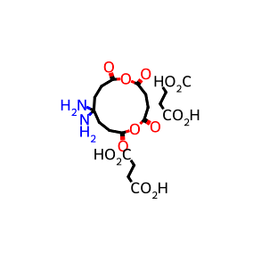 NC1(N)CCC(=O)OC(=O)CCC(=O)OC(=O)CC1.O=C(O)CCC(=O)O.O=C(O)CCC(=O)O